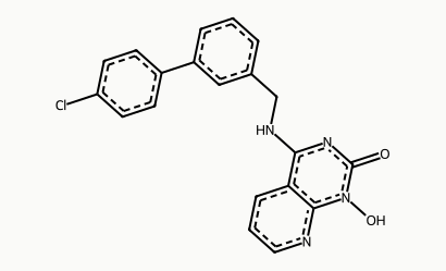 O=c1nc(NCc2cccc(-c3ccc(Cl)cc3)c2)c2cccnc2n1O